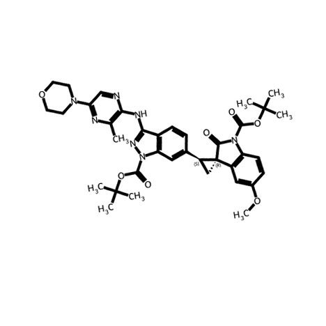 COc1ccc2c(c1)[C@]1(C[C@H]1c1ccc3c(Nc4ncc(N5CCOCC5)nc4C)nn(C(=O)OC(C)(C)C)c3c1)C(=O)N2C(=O)OC(C)(C)C